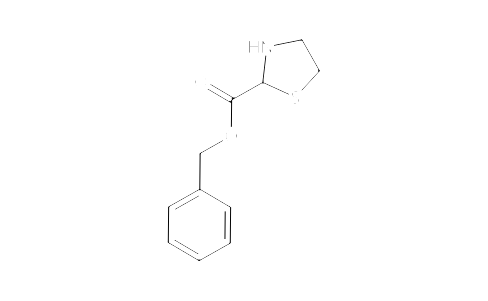 O=C(OCc1ccccc1)C1NCCS1